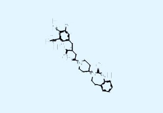 Nc1c(Br)cc(CC(CC(=O)N2CCC(N3CCc4ccccc4NC3=O)CC2)C(=O)O)cc1C(F)(F)F